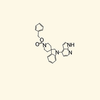 O=C(OCc1ccccc1)N1CCC2(CC1)CN(c1ccnc3[nH]ccc13)c1ccccc12